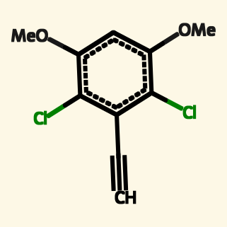 C#Cc1c(Cl)c(OC)cc(OC)c1Cl